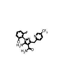 NC(=O)c1c(Cc2ccc(C(F)(F)F)cn2)nn(-c2c(F)cccc2Cl)c1N